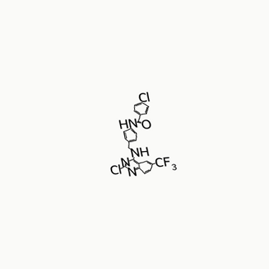 O=C(Nc1ccc(CNc2nc(Cl)nc3ccc(C(F)(F)F)cc23)cc1)c1ccc(Cl)cc1